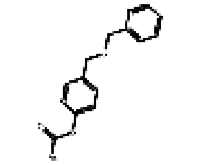 CC(=O)C(=O)Oc1ccc(CSCc2ccccc2)cc1